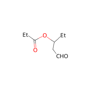 CCC(=O)OC(CC)CC=O